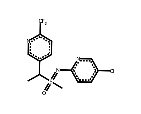 CC(c1ccc(C(F)(F)F)nc1)S(C)(=O)=Nc1ccc(Cl)cn1